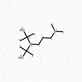 CN(C)CCCN(C(C)(C)O)C(C)(C)O